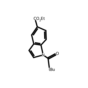 CCOC(=O)c1ccc2c(ccn2C(=O)C(C)(C)C)c1